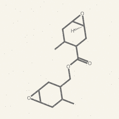 CC1CC2OC2CC1COC(=O)C1C[C@@H]2OC2CC1C